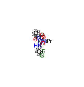 CC(C)NC(=O)C(CC(=O)NCc1cccc(Cl)c1F)N1C(=O)c2ccccc2C1=O